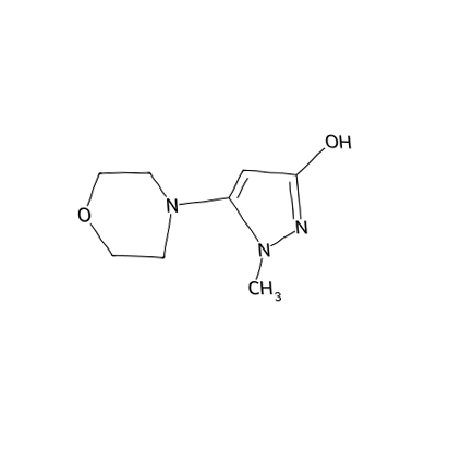 Cn1nc(O)cc1N1CCOCC1